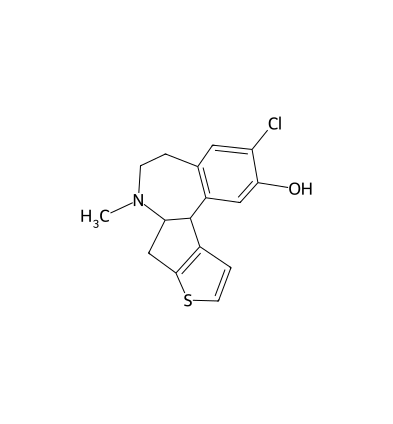 CN1CCc2cc(Cl)c(O)cc2C2c3ccsc3CC21